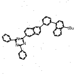 CC(C)(C)c1ccc(-c2cccc(-c3ccc4cc(-c5nc(-c6ccccc6)nc(-c6ccccc6)n5)ccc4c3)c2)c2ccccc12